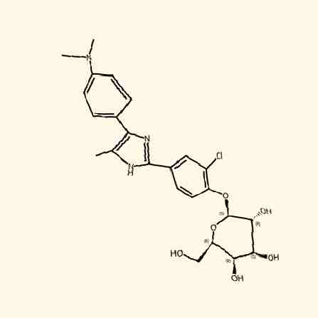 Cc1[nH]c(-c2ccc(O[C@@H]3O[C@H](CO)[C@H](O)[C@H](O)[C@H]3O)c(Cl)c2)nc1-c1ccc(N(C)C)cc1